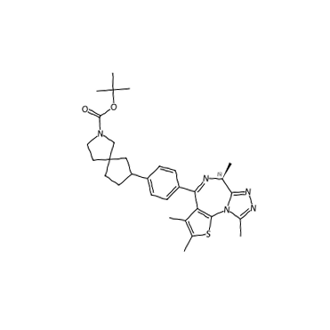 Cc1sc2c(c1C)C(c1ccc(C3CCC4(CCN(C(=O)OC(C)(C)C)C4)C3)cc1)=N[C@@H](C)c1nnc(C)n1-2